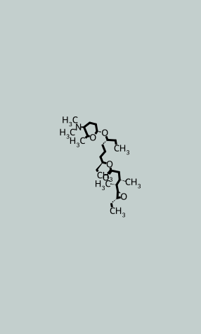 CC[C@@H](CCC[C@@H](CC)O[C@H]1CC[C@H](N(C)C)C(C)O1)OC(=O)C[C@H](C)[C@@H](C)[C@@H]1O[C@@H]1CC